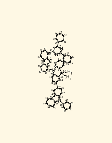 CC1(C)c2ccccc2N(c2cccc3c2oc2c(-c4nc(-c5ccccc5)nc(-c5ccccc5)n4)cccc23)c2ccc(-c3ccc4c(c3)c3ccccc3n4-c3ccccc3)cc21